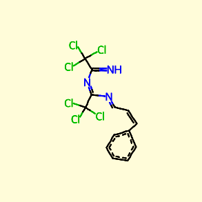 N=C(\N=C(/N=C/C=C\c1ccccc1)C(Cl)(Cl)Cl)C(Cl)(Cl)Cl